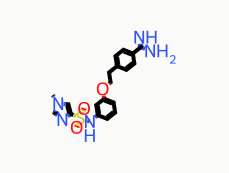 Cn1cnc(S(=O)(=O)Nc2cccc(OCCc3ccc(C(=N)N)cc3)c2)c1